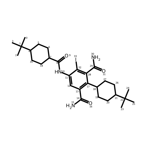 CC(C)(C)C1CCC(C(=O)Nc2cc(C(N)=O)c(C3CCC(C(C)(C)C)CC3)c(C(N)=O)c2I)CC1